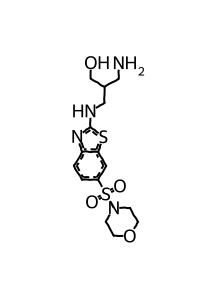 NCC(CO)CNc1nc2ccc(S(=O)(=O)N3CCOCC3)cc2s1